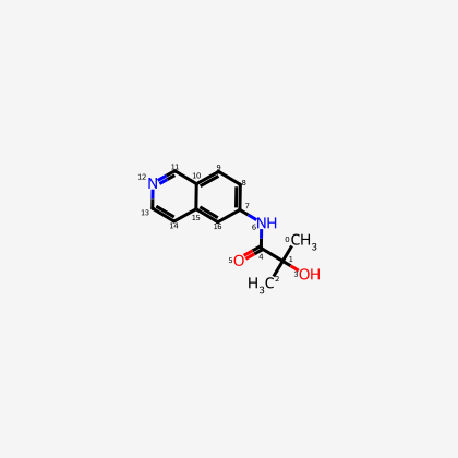 CC(C)(O)C(=O)Nc1ccc2cnccc2c1